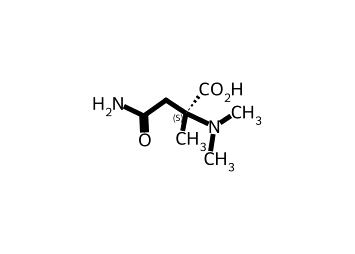 CN(C)[C@@](C)(CC(N)=O)C(=O)O